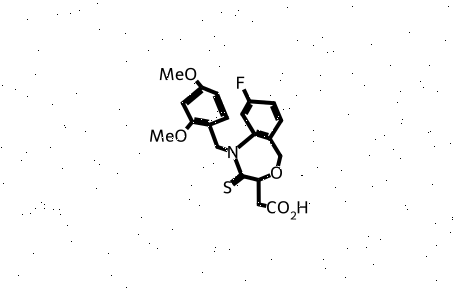 COc1ccc(CN2C(=S)C(CC(=O)O)OCc3ccc(F)cc32)c(OC)c1